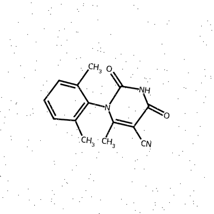 Cc1cccc(C)c1-n1c(C)c(C#N)c(=O)[nH]c1=O